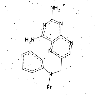 CCN(Cc1cnc2nc(N)nc(N)c2n1)c1ccccc1